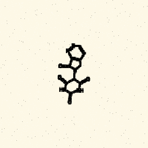 O=C1NC(=O)C(N2Cc3ccnnc3C2=O)C(=O)N1